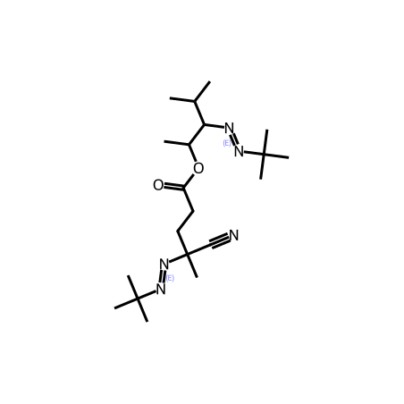 CC(C)C(/N=N/C(C)(C)C)C(C)OC(=O)CCC(C)(C#N)/N=N/C(C)(C)C